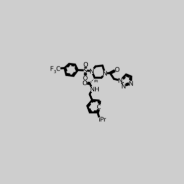 CC(C)c1ccc(CNC(=O)[C@H]2CN(C(=O)Cn3ccnn3)CCN2S(=O)(=O)c2ccc(C(F)(F)F)cc2)cc1